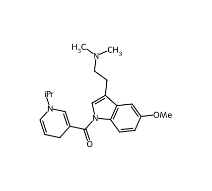 COc1ccc2c(c1)c(CCN(C)C)cn2C(=O)C1=CN(C(C)C)C=CC1